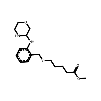 COC(=O)CCCCOCc1ccccc1NC1COCCN1